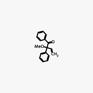 C=CC(OC)(C(=O)c1ccccc1)c1ccccc1